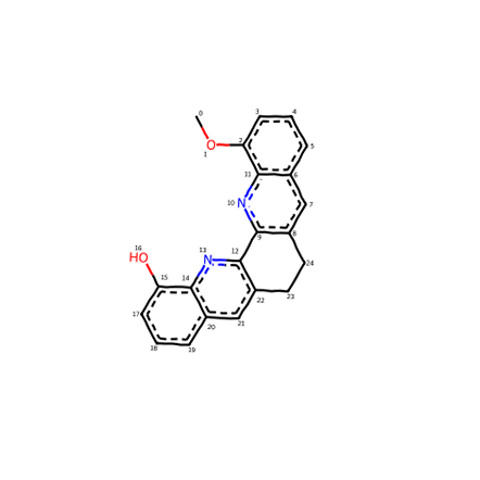 COc1cccc2cc3c(nc12)-c1nc2c(O)cccc2cc1CC3